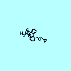 NS(=O)(=O)c1ccccc1-c1ccccc1COCC1CC1